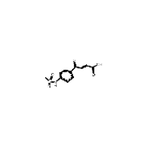 CS(=O)(=O)Nc1ccc(C(=O)C=CC(=O)O)cc1